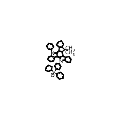 CC1(C)c2ccccc2-c2c1c1c3ccccc3n(-c3ccc(P(=O)(c4ccccc4)c4ccccc4)cc3)c1c1c3ccccc3n(-c3ccccc3)c21